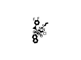 CCCSc1nc(Cl)c(N=O)c(N([C@@H]2C[C@H]2c2ccc(F)c(F)c2)S(=O)(=O)c2ccc3ccccc3c2)n1